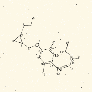 CCCC1CC1COc1cc(C)c(/N=C\N(C)CC)cc1C